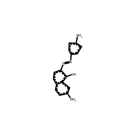 Nc1ccc(N=Nc2ccc3ccc(N)cc3c2O)cc1